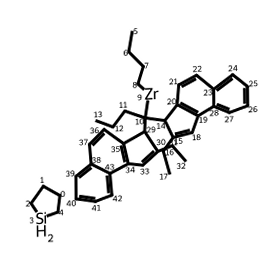 C1CC[SiH2]C1.CCC[CH2][Zr][C](CCC)(C1C(CC)=Cc2c1ccc1ccccc21)C1C(CC)=Cc2c1ccc1ccccc21